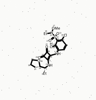 CC[C@@H](Nc1c(Nc2ccc(Cl)c(S(=O)(=O)N(CC)OC)c2O)c(=O)c1=O)[C@@H]1CCCO1